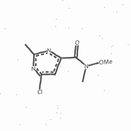 CON(C)C(=O)c1cc(Cl)nc(C)n1